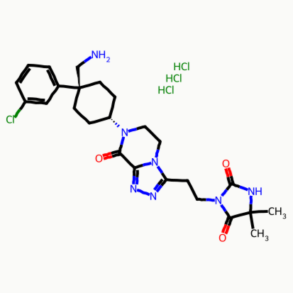 CC1(C)NC(=O)N(CCc2nnc3n2CCN([C@H]2CC[C@@](CN)(c4cccc(Cl)c4)CC2)C3=O)C1=O.Cl.Cl.Cl